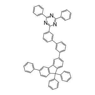 c1ccc(-c2ccc3c(c2)-c2cc(-c4cccc(-c5cccc(-c6nc(-c7ccccc7)nc(-c7ccccc7)n6)c5)c4)ccc2C3(c2ccccc2)c2ccccc2)cc1